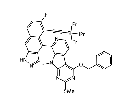 CSc1nc(OCc2ccccc2)c2c3ccnc(-c4c5cn[nH]c5cc5ccc(F)c(C#C[Si](C(C)C)(C(C)C)C(C)C)c45)c3n(C)c2n1